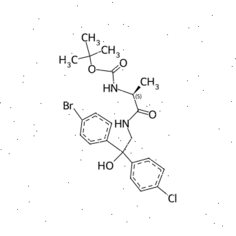 C[C@H](NC(=O)OC(C)(C)C)C(=O)NCC(O)(c1ccc(Cl)cc1)c1ccc(Br)cc1